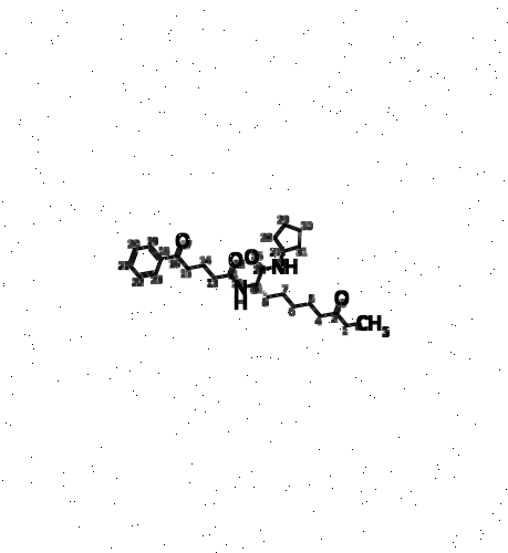 CCC(=O)CCCCC[C@H](NC(=O)CCCC(=O)c1ccccc1)C(=O)NC1CCCC1